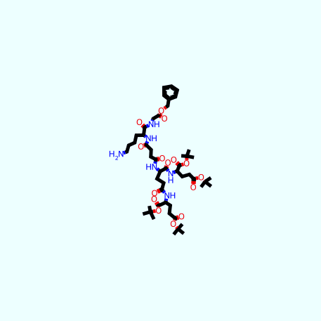 CC(C)(C)OC(=O)CCC(NC(=O)CCC(NC(=O)CCC(=O)NC(CCCCN)C(=O)NCC(=O)OCc1ccccc1)C(=O)NC(CCC(=O)OC(C)(C)C)C(=O)OC(C)(C)C)C(=O)OC(C)(C)C